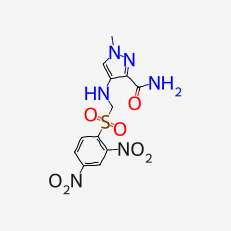 Cn1cc(NCS(=O)(=O)c2ccc([N+](=O)[O-])cc2[N+](=O)[O-])c(C(N)=O)n1